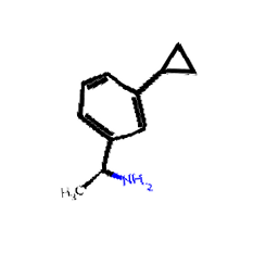 C[C@H](N)c1cccc(C2CC2)c1